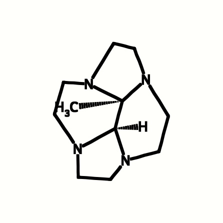 C[C@]12[C@H]3N4CCN3CCN1CCN2CC4